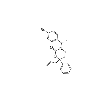 C=CC[C@]1(c2ccccc2)CCN([C@@H](C)c2ccc(Br)cc2)C(=O)O1